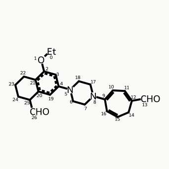 CCOc1cc(N2CCN(C3=CC=C(C=O)CC=C3)CC2)cc2c1CCCC2C=O